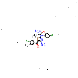 CC(C(N)=O)N(c1ccc(F)cc1)c1nc(N)c(C(=O)c2ccc(Cl)c(C(F)(F)F)c2)s1